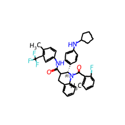 Cc1ccc(NC(=O)C2Cc3ccccc3N(C(=O)c3c(C)cccc3F)[C@H]2c2ccc(NC3CCCC3)cc2)cc1C(F)(F)F